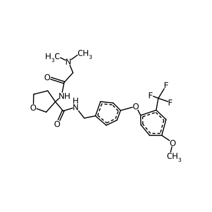 COc1ccc(Oc2ccc(CNC(=O)C3(NC(=O)CN(C)C)CCOC3)cc2)c(C(F)(F)F)c1